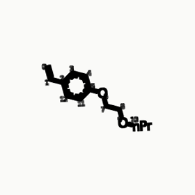 C=Cc1ccc(OCCOCCC)cc1